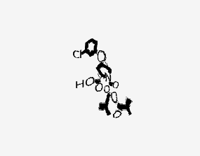 CC(C)C(=O)O[C@@H](OC(=O)N1C[C@@H](Oc2cccc(Cl)c2)C[C@H]1C(=O)O)C(C)C